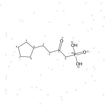 O=C(CCC1CCCC1)CP(=O)(O)O